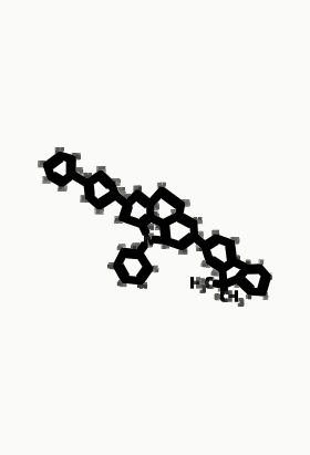 CC1(C)c2ccccc2-c2ccc(-c3cc4ccc5cc(-c6ccc(-c7ccccc7)cc6)cc6c5c4c(c3)n6-c3ccccc3)cc21